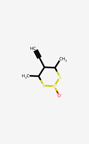 C#CC1C(C)S[S+]([O-])SC1C